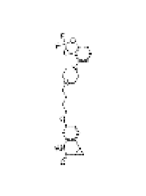 O=C1Nc2cc(OCCCCN3CCN(c4cccc5c4OC(F)(F)O5)CC3)ccc2C2CC12